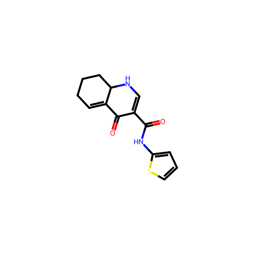 O=C(Nc1cccs1)C1=CNC2CCCC=C2C1=O